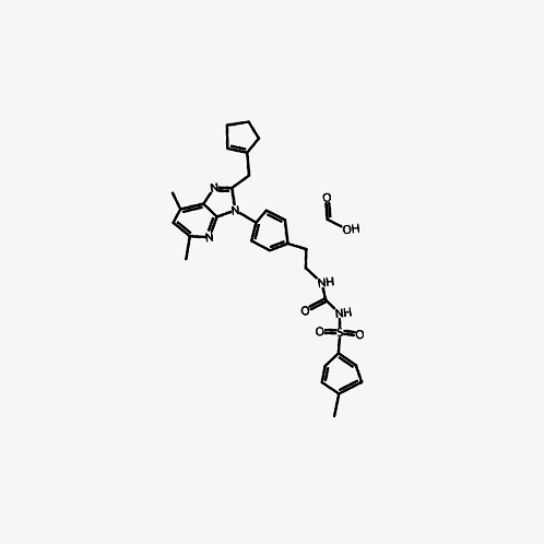 Cc1ccc(S(=O)(=O)NC(=O)NCCc2ccc(-n3c(CC4=CCCC4)nc4c(C)cc(C)nc43)cc2)cc1.O=CO